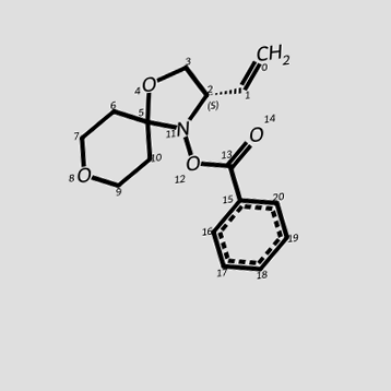 C=C[C@H]1COC2(CCOCC2)N1OC(=O)c1ccccc1